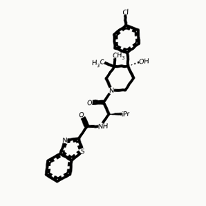 CC(C)[C@@H](NC(=O)c1nc2ccccc2s1)C(=O)N1CC[C@](O)(c2ccc(Cl)cc2)C(C)(C)C1